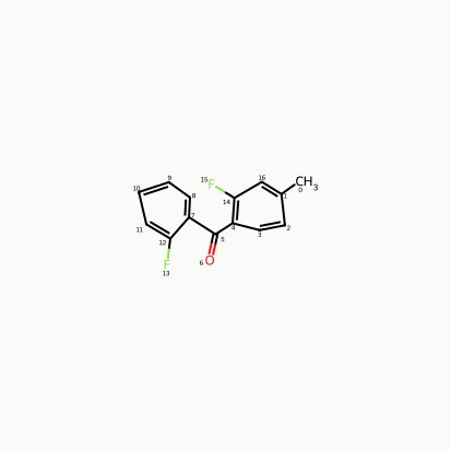 Cc1ccc(C(=O)c2ccccc2F)c(F)c1